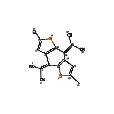 CCc1cc2c(=C(C#N)C#N)c3sc(C)cc3c(=C(C#N)C#N)c2s1